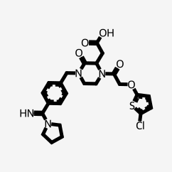 N=C(c1ccc(CN2CCN(C(=O)COc3ccc(Cl)s3)C(CC(=O)O)C2=O)cc1)N1CCCC1